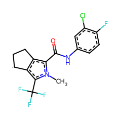 Cn1c(C(=O)Nc2ccc(F)c(Cl)c2)c2c(c1C(F)(F)F)[CH]CC2